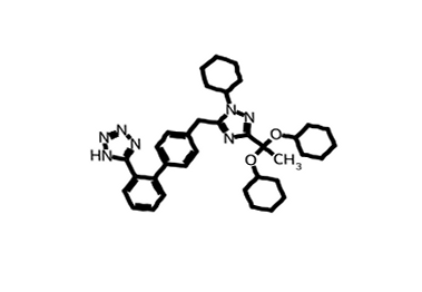 CC(OC1CCCCC1)(OC1CCCCC1)c1nc(Cc2ccc(-c3ccccc3-c3nnn[nH]3)cc2)n(C2CCCCC2)n1